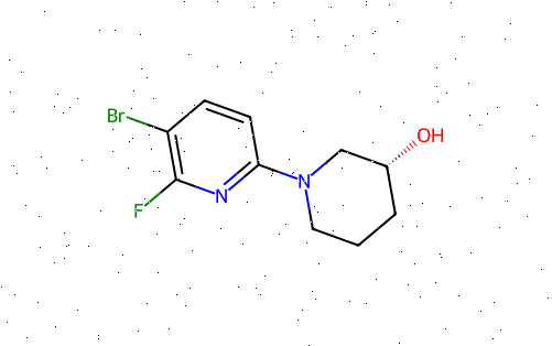 O[C@@H]1CCCN(c2ccc(Br)c(F)n2)C1